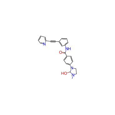 CN1CCN(c2ccc(C(=O)Nc3cccc(C#Cc4ccccn4)c3)cc2)C1O